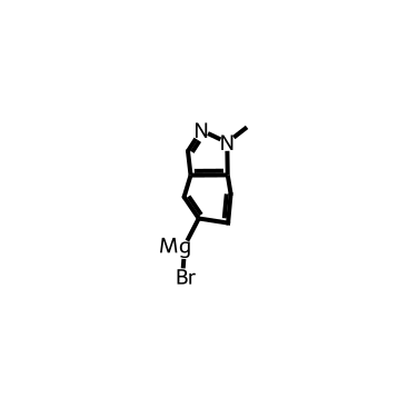 Cn1ncc2c[c]([Mg][Br])ccc21